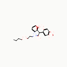 CCCCOCCCN1C(=O)C(c2cc3c(cc2O)OCO3)c2ccccc21